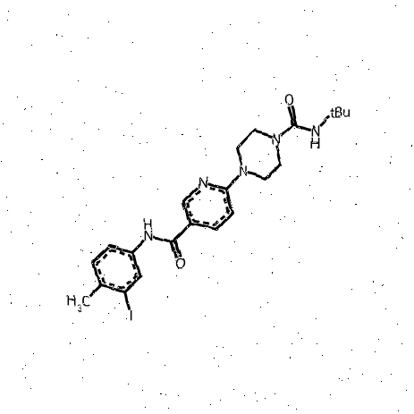 Cc1ccc(NC(=O)c2ccc(N3CCN(C(=O)NC(C)(C)C)CC3)nc2)cc1I